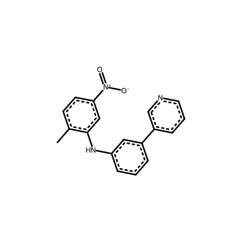 Cc1ccc([N+](=O)[O-])cc1Nc1cccc(-c2cccnc2)c1